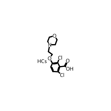 O=C(O)c1c(Cl)ccc(OCCN2CCOCC2)c1Cl.[CsH]